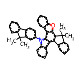 CC1(C)c2ccccc2-c2ccc(-n3c4ccccc4c4c5c(c6oc7ccccc7c6c43)C(C)(C)c3ccccc3-5)cc21